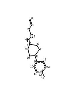 C=CCON=C1CCC(c2ccc(C)cc2)CC1